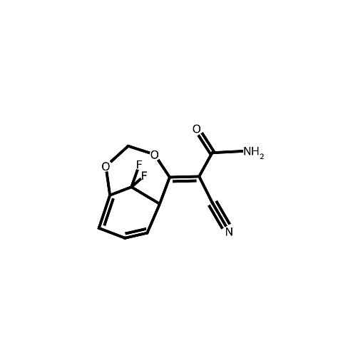 N#CC(C(N)=O)=C1OCOC2=CC=CC1C2(F)F